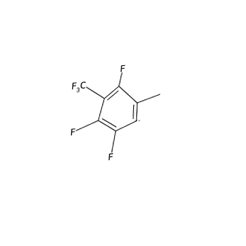 Cc1[c]c(F)c(F)c(C(F)(F)F)c1F